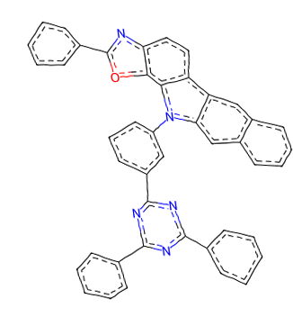 c1ccc(-c2nc(-c3ccccc3)nc(-c3cccc(-n4c5cc6ccccc6cc5c5ccc6nc(-c7ccccc7)oc6c54)c3)n2)cc1